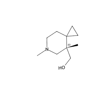 CN1CCC2(CC2)[C@](C)(CO)C1